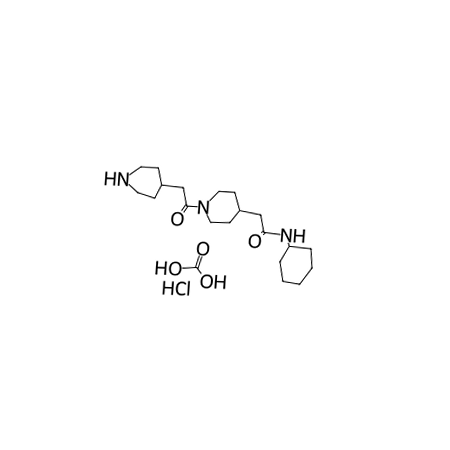 Cl.O=C(CC1CCN(C(=O)CC2CCNCC2)CC1)NC1CCCCC1.O=C(O)O